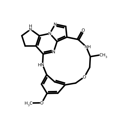 COc1cc2cc(c1)Nc1nc3c(cnn3c3c1CCN3)C(=O)NC(C)COC2